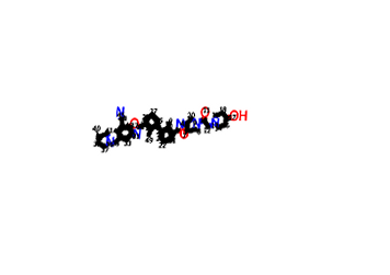 Cc1c(-c2nc3c(o2)CN(C(=O)CN2CCC(O)CC2)C3)cccc1-c1cccc(-c2nc3cc(CN4CC[C@H](C)C4)cc(C#N)c3o2)c1C